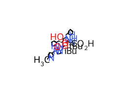 CCC(C)[C@@H](C(=O)N[C@@H](Cc1ccccc1)C[C@H](O)[C@H](Cc1ccccc1)NC(=O)[C@@H](NC(=O)O)C(C)(C)C)N1CCN(Cc2ccc(C)nc2)C1=O